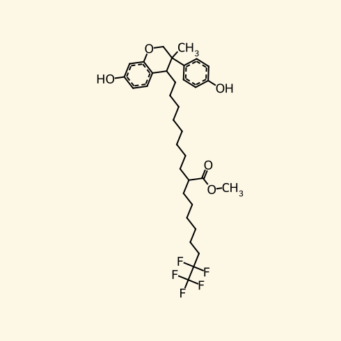 COC(=O)C(CCCCCCCCC1c2ccc(O)cc2OCC1(C)c1ccc(O)cc1)CCCCCCC(F)(F)C(F)(F)F